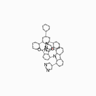 O=C1c2cccc(-n3c4c(-c5cncnc5)cccc4c4cccc(-c5cncnc5)c43)c2C(=O)N1c1c(-c2ccccc2)cc(-c2ccccc2)cc1-c1ccccc1